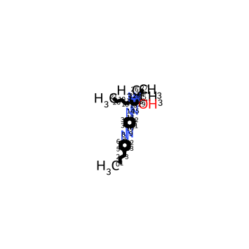 CCCCc1ccc(N=Nc2ccc(N=Nc3c(CCCC)nn(C(C)(C)C)c3O)cc2)cc1